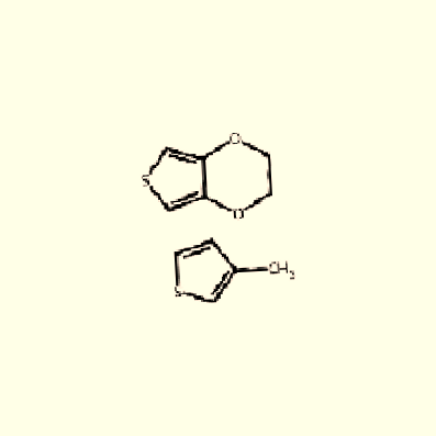 Cc1ccsc1.c1scc2c1OCCO2